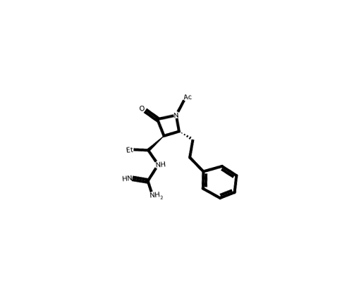 CCC(NC(=N)N)[C@H]1C(=O)N(C(C)=O)[C@@H]1CCc1ccccc1